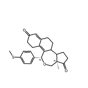 CSc1ccc([C@H]2OC[C@]3(C)C(=O)CCC3C3CCC4=CC(=O)CCC4=C32)cc1